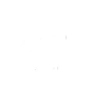 CC(C)(C(=O)O)c1c(F)cccc1Cl